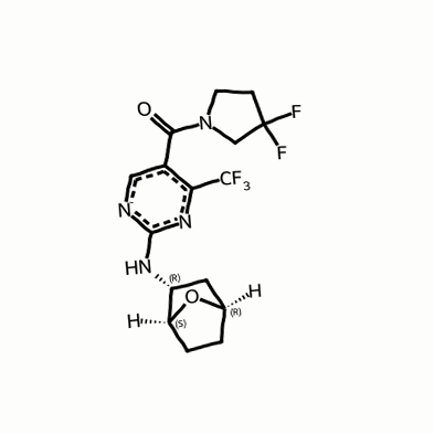 O=C(c1cnc(N[C@@H]2C[C@H]3CC[C@@H]2O3)nc1C(F)(F)F)N1CCC(F)(F)C1